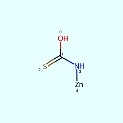 OC(=S)[NH][Zn]